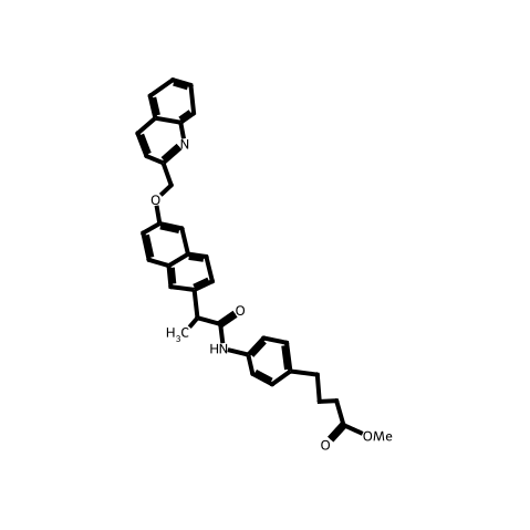 COC(=O)CCCc1ccc(NC(=O)C(C)c2ccc3cc(OCc4ccc5ccccc5n4)ccc3c2)cc1